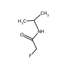 CC(C)NC(=O)CF